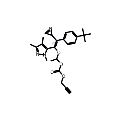 C#CCOC(=O)OC(C)O/C(=C(\c1ccc(C(C)(C)C)cc1)C1C=N1)c1c(C)c(C)nn1C